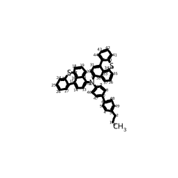 CCCc1ccc(-c2ccc(N(c3ccc4c5c(cccc35)Sc3ccccc3-4)c3ccc4c5c(cccc35)Sc3ccccc3-4)cc2)cc1